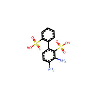 Nc1ccc(-c2ccccc2S(=O)(=O)O)c(S(=O)(=O)O)c1N